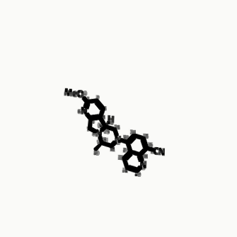 COc1ccc2c(n1)CN1[C@H](C)CN(c3ccc(C#N)c4ncccc34)C[C@H]21